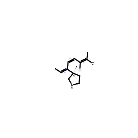 C\C=C(/C=C\C(Cl)=C(/C)Cl)[C@@]1(C)CCNC1